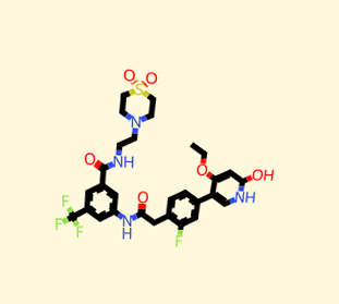 CCOC1=CC(O)NC=C1c1ccc(CC(=O)Nc2cc(C(=O)NCCN3CCS(=O)(=O)CC3)cc(C(F)(F)F)c2)c(F)c1